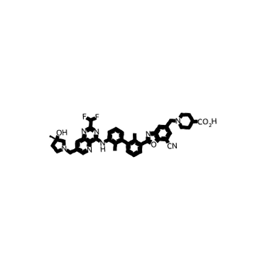 Cc1c(Nc2nc(C(F)F)nc3cc(CN4CC[C@](C)(O)C4)cnc23)cccc1-c1cccc(-c2nc3cc(CN4CCC(C(=O)O)CC4)cc(C#N)c3o2)c1C